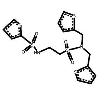 O=S(=O)(NCCS(=O)(=O)N(Cc1cccs1)Cc1cccs1)c1cccs1